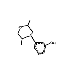 CC1CN(c2cccc(O)c2)C(C)CN1